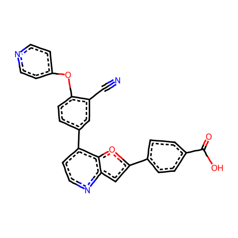 N#Cc1cc(-c2ccnc3cc(-c4ccc(C(=O)O)cc4)oc23)ccc1Oc1ccncc1